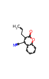 C=CCc1c(C#N)c2ccccc2oc1=O